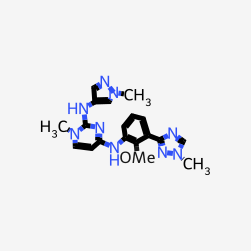 COc1c(NC2=NC(Nc3cnn(C)c3)N(C)C=C2)cccc1-c1ncn(C)n1